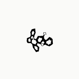 Clc1cc2c(c3oc4ccccc4c13)-c1ccccc1-c1cccc3c4ccccc4n-2c13